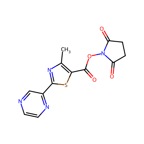 Cc1nc(-c2cnccn2)sc1C(=O)ON1C(=O)CCC1=O